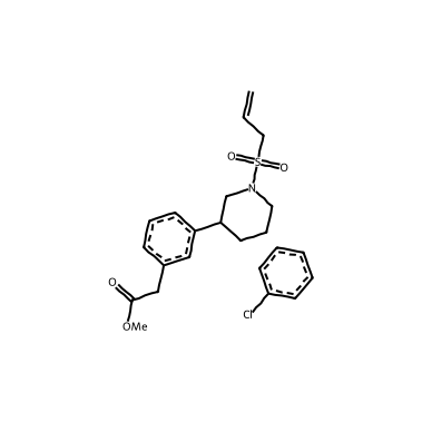 C=CCS(=O)(=O)N1CCCC(c2cccc(CC(=O)OC)c2)C1.Clc1ccccc1